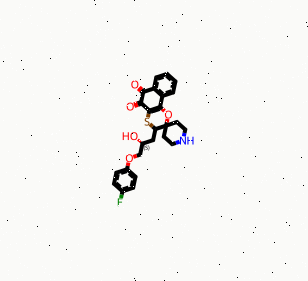 O=C1C(=O)c2ccccc2C2=C1SC(C[C@H](O)COc1ccc(F)cc1)C1(CCNCC1)O2